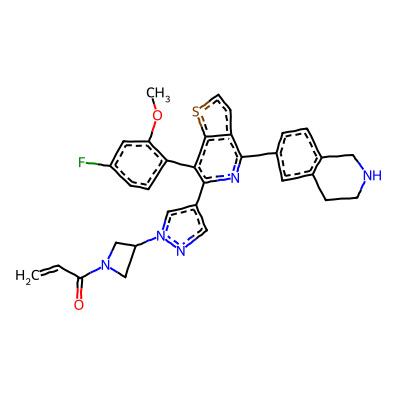 C=CC(=O)N1CC(n2cc(-c3nc(-c4ccc5c(c4)CCNC5)c4ccsc4c3-c3ccc(F)cc3OC)cn2)C1